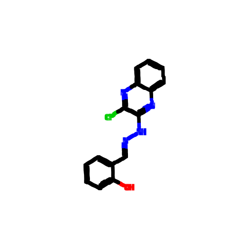 Oc1ccccc1C=NNc1nc2ccccc2nc1Cl